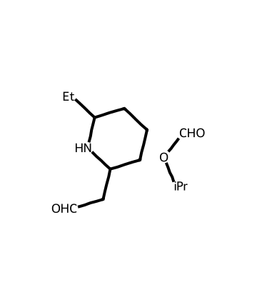 CC(C)OC=O.CCC1CCCC(CC=O)N1